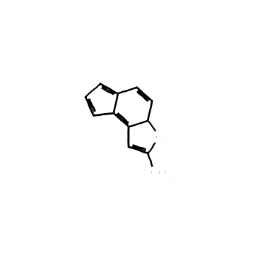 O=C(O)C1=CC2=C3C=CC=C3C=CC2O1